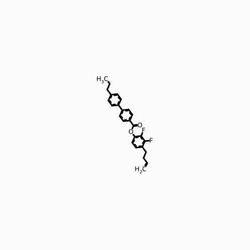 C=CCCc1ccc(OC(=O)c2ccc(-c3ccc(CCC)cc3)cc2)c(F)c1F